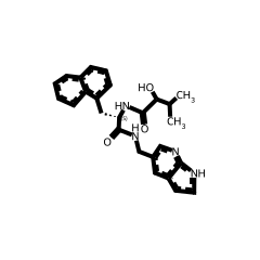 CC(C)C(O)C(=O)N[C@@H](Cc1cccc2ccccc12)C(=O)NCc1cnc2[nH]ccc2c1